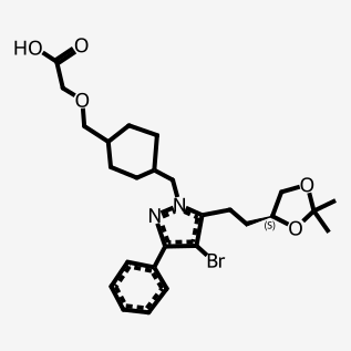 CC1(C)OC[C@H](CCc2c(Br)c(-c3ccccc3)nn2CC2CCC(COCC(=O)O)CC2)O1